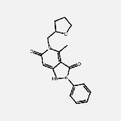 Cc1c2c(=O)n(-c3ccccc3)[nH]c2cc(=O)n1CC1CCCO1